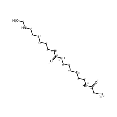 CCNCCSSCCNC(=O)NCCSSCCNC(=O)CC